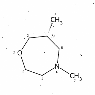 C[C@H]1COCCN(C)C1